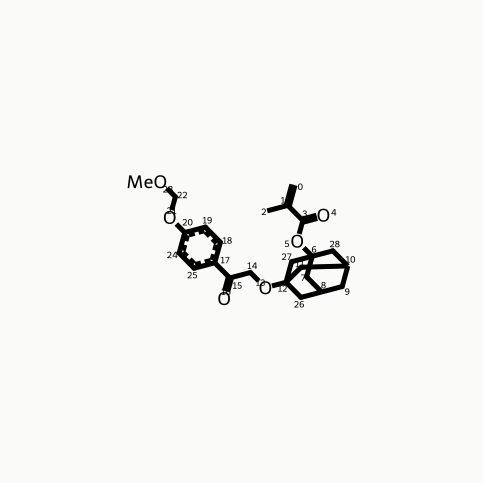 C=C(C)C(=O)OC12CC3CC(CC(OCC(=O)c4ccc(OCOC)cc4)(C3)C1)C2